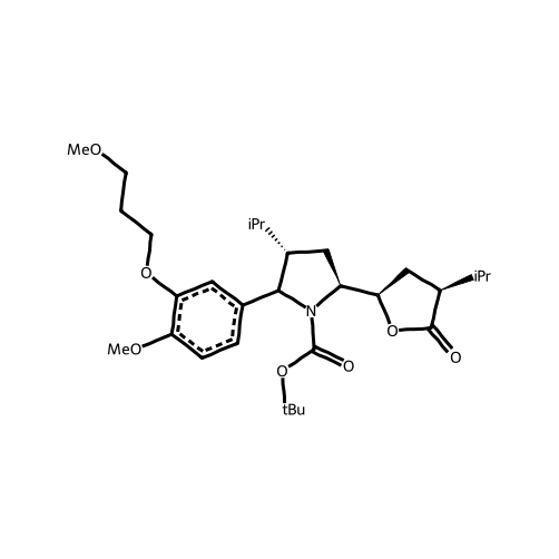 COCCCOc1cc(C2[C@H](C(C)C)C[C@@H]([C@H]3C[C@@H](C(C)C)C(=O)O3)N2C(=O)OC(C)(C)C)ccc1OC